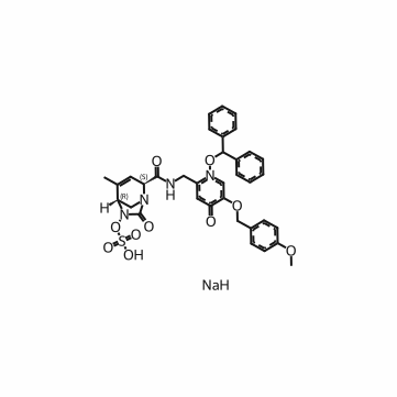 COc1ccc(COc2cn(OC(c3ccccc3)c3ccccc3)c(CNC(=O)[C@@H]3C=C(C)[C@@H]4CN3C(=O)N4OS(=O)(=O)O)cc2=O)cc1.[NaH]